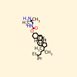 CCC(CC[C@@H](C)C1CC[C@H]2[C@@H]3CC=C4C[C@@H](OC(=O)NCC(C)(C)N)CC[C@]4(C)[C@H]3CC[C@]12C)C(C)C